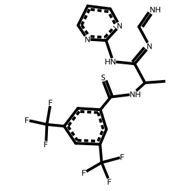 CC(NC(=S)c1cc(C(F)(F)F)cc(C(F)(F)F)c1)/C(=N/C=N)Nc1ncccn1